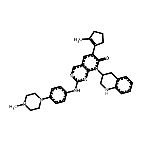 CC1=C(c2cc3cnc(Nc4ccc(N5CCN(C)CC5)cc4)nc3n(C3CNc4ccccc4C3)c2=O)CCC1